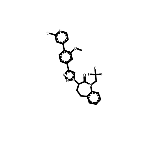 COc1cc(-c2cn(C3CCc4ccccc4N(CC(F)(F)F)C3=O)nn2)ccc1-c1ccnc(Cl)c1